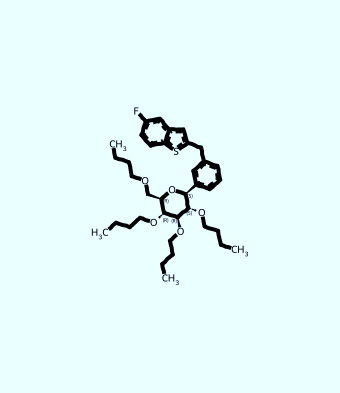 CCCCOC[C@H]1O[C@@H](c2cccc(Cc3cc4cc(F)ccc4s3)c2)[C@H](OCCCC)[C@@H](OCCCC)[C@@H]1OCCCC